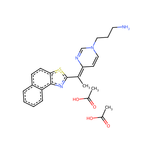 CC(=C1C=CN(CCCN)C=N1)c1nc2c(ccc3ccccc32)s1.CC(=O)O.CC(=O)O